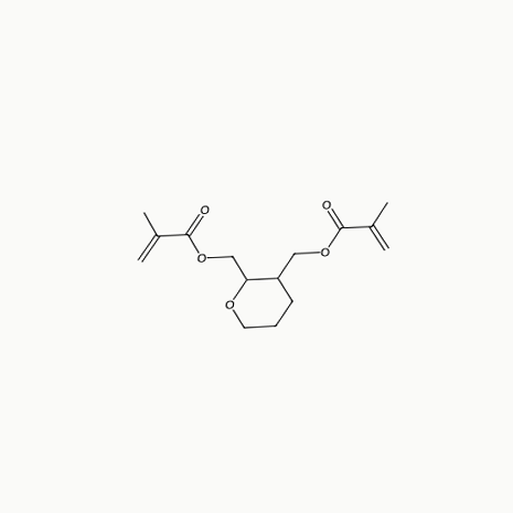 C=C(C)C(=O)OCC1CCCOC1COC(=O)C(=C)C